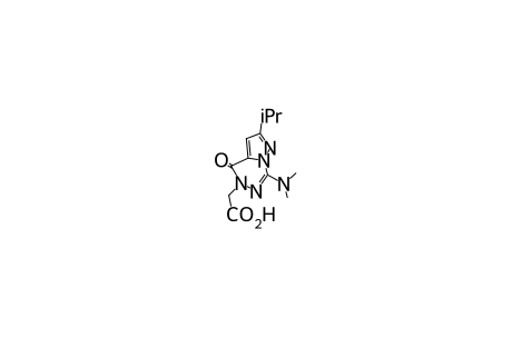 CC(C)c1cc2c(=O)n(CC(=O)O)nc(N(C)C)n2n1